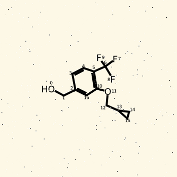 OCc1ccc(C(F)(F)F)c(OCC2CC2)c1